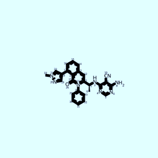 C[C@H](Nc1ncnc(N)c1C#N)c1cc2cccc(-c3cnn(C)c3)c2c(=O)n1-c1ccccc1